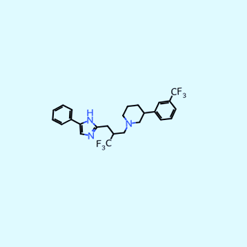 FC(F)(F)c1cccc(C2CCCN(CC(Cc3ncc(-c4ccccc4)[nH]3)C(F)(F)F)C2)c1